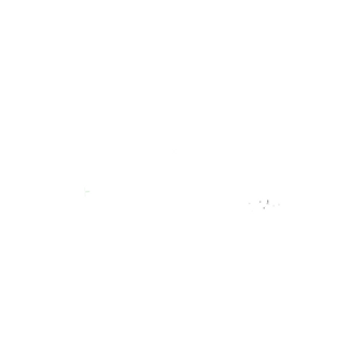 CSCc1c(C)cc(F)cc1C